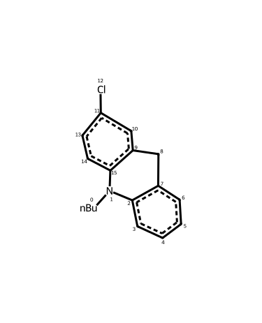 CCCCN1c2ccccc2Cc2cc(Cl)ccc21